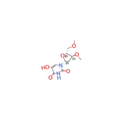 COC[C@H]1O[C@@H](n2cc(O)c(=O)[nH]c2=O)C[C@@H]1OC